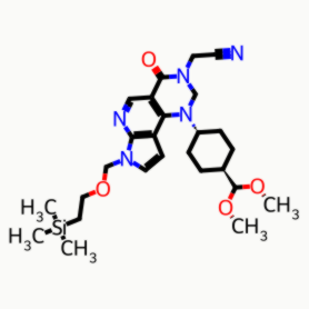 COC(OC)[C@H]1CC[C@H](N2CN(CC#N)C(=O)c3cnc4c(ccn4COCC[Si](C)(C)C)c32)CC1